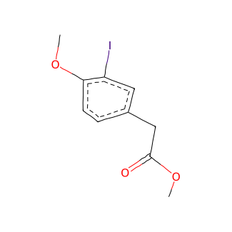 COC(=O)Cc1ccc(OC)c(I)c1